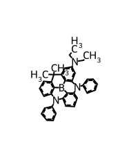 CCN(CC)c1cc2c3c(c1)C(C)(C)c1cccc4c1B3c1c(cccc1N2c1ccccc1)N4c1ccccc1